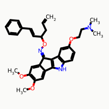 C=CCC(C=Cc1ccccc1)ON=C1c2cc(OC)c(OC)cc2-c2[nH]c3ccc(OCCN(C)C)cc3c21